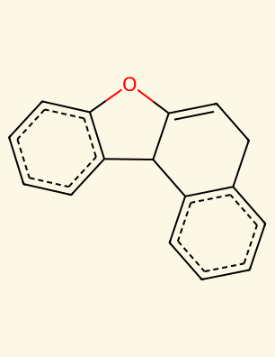 C1=C2Oc3ccccc3C2c2ccccc2C1